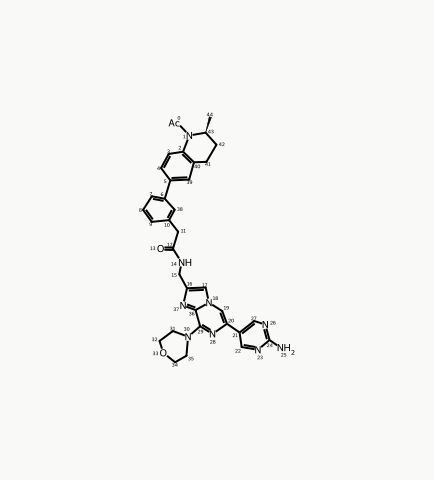 CC(=O)N1c2ccc(-c3cccc(CC(=O)NCc4cn5cc(-c6cnc(N)nc6)nc(N6CCOCC6)c5n4)c3)cc2CC[C@@H]1C